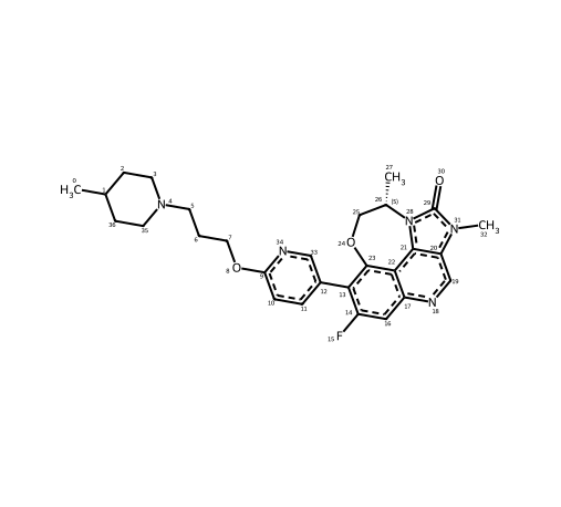 CC1CCN(CCCOc2ccc(-c3c(F)cc4ncc5c6c4c3OC[C@H](C)n6c(=O)n5C)cn2)CC1